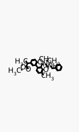 CCOC(=O)C(C)c1ccc(OC)c(-c2ccc(C)cc2CN(CC)C(=O)NCc2ccccc2)c1